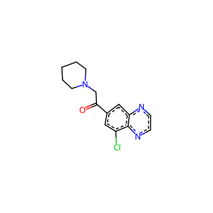 O=C(CN1CCCCC1)c1cc(Cl)c2nccnc2c1